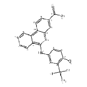 CC(F)(F)c1cc(Nc2nc3cc(C(=O)O)ccc3c3cnccc23)ccc1Cl